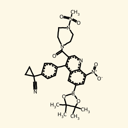 CC1(C)OB(c2cc([N+](=O)[O-])c3ncc(C(=O)N4CCN(S(C)(=O)=O)CC4)c(-c4ccc(C5(C#N)CC5)cc4)c3c2)OC1(C)C